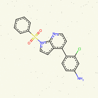 Nc1ccc(-c2ccnc3c2ccn3S(=O)(=O)c2ccccc2)c(Cl)c1